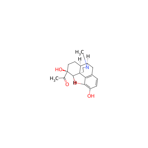 CC(=O)[C@]1(O)CC[C@H]2[C@H]3Cc4ccc(O)c5c4[C@@]2(CCN3C)[C@H]1O5